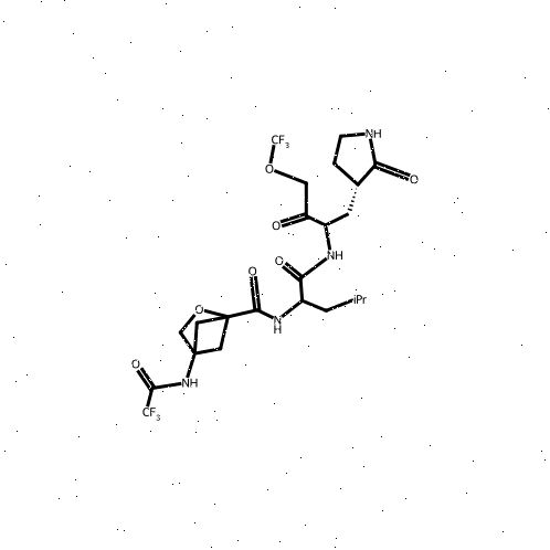 CC(C)CC(NC(=O)C12CC(NC(=O)C(F)(F)F)(CO1)C2)C(=O)NC(C[C@@H]1CCNC1=O)C(=O)COC(F)(F)F